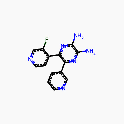 Nc1nc(-c2cccnc2)c(-c2ccncc2F)nc1N